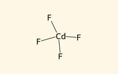 [F][Cd]([F])([F])[F]